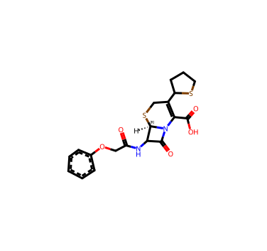 O=C(COc1ccccc1)NC1C(=O)N2C(C(=O)O)=C(C3CCCS3)CS[C@H]12